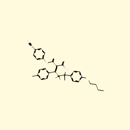 CCCCOc1ccc(C2(C)NC(=O)C(C(=O)Nc3ccc(C#N)cc3)=C(c3ccc(C)cc3)C2(F)F)cc1